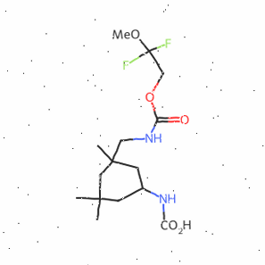 COC(F)(F)COC(=O)NCC1(C)CC(NC(=O)O)CC(C)(C)C1